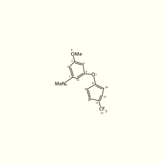 CNc1cc(OC)cc(Oc2ccc(C(F)(F)F)cc2)c1